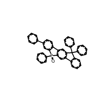 O=P1(c2ccccc2)c2cc(-c3ccccc3)ccc2-c2cc3c(cc21)-c1ccccc1C3(c1ccccc1)c1ccccc1